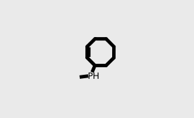 CPC1/C=C\CCCCC1